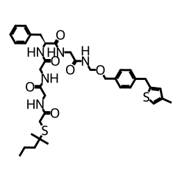 CCCC(C)(C)SCC(=O)NCC(=O)NCC(=O)N[C@@H](Cc1ccccc1)C(=O)NCC(=O)NCOCc1ccc(Cc2cc(C)cs2)cc1